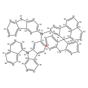 c1ccc2c(c1)Sc1ccccc1C21c2cc(N(c3ccc4sc5ccccc5c4c3)c3ccc4c5ccccc5n(-c5cccc6ccccc56)c4c3)ccc2-c2cccc3cccc1c23